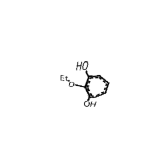 CCOc1c(O)cccc1O